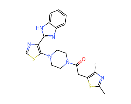 Cc1nc(C)c(CC(=O)N2CCN(c3scnc3-c3nc4ccccc4[nH]3)CC2)s1